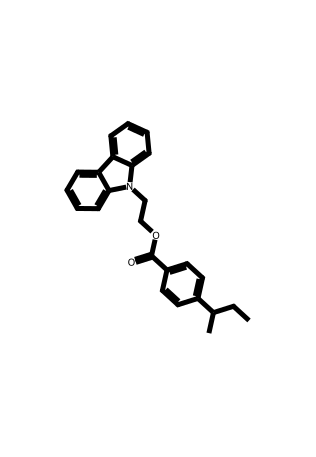 CCC(C)c1ccc(C(=O)OCCn2c3ccccc3c3ccccc32)cc1